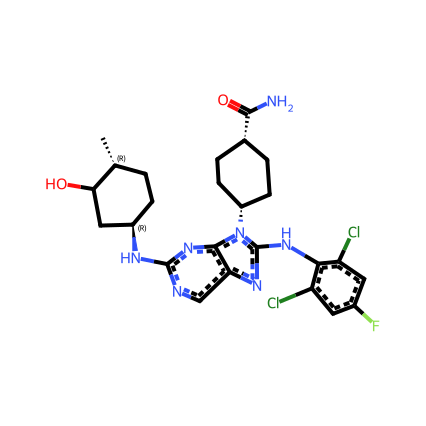 C[C@@H]1CC[C@@H](Nc2ncc3nc(Nc4c(Cl)cc(F)cc4Cl)n([C@H]4CC[C@@H](C(N)=O)CC4)c3n2)CC1O